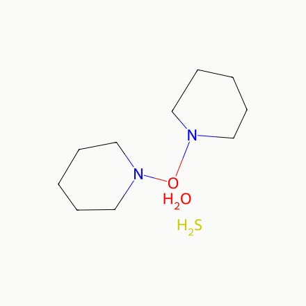 C1CCN(ON2CCCCC2)CC1.O.S